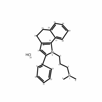 CN(C)CCCn1c(-c2ccccc2)cc2c1-c1ccccc1CC2.Cl